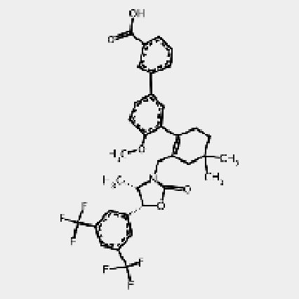 COc1ccc(-c2cccc(C(=O)O)c2)cc1C1=C(CN2C(=O)O[C@H](c3cc(C(F)(F)F)cc(C(F)(F)F)c3)[C@@H]2C)CC(C)(C)CC1